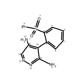 CC(C)S(=O)(=O)c1ccccc1-c1c(N)cnnc1N